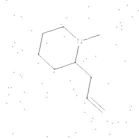 C=CCC1CCCCN1C